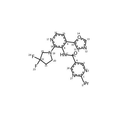 CC(C)c1ncc(C(=O)Nc2c(-c3cnco3)ccnc2N2CCC(F)(F)C2)cn1